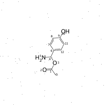 CC(=O)OC(N)c1ccc(O)cc1